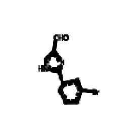 O=Cc1c[nH]c(-c2cccc(Br)c2)n1